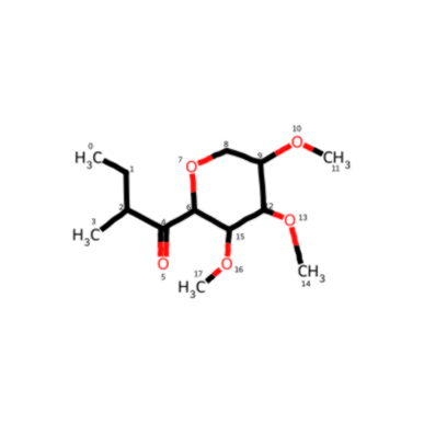 CCC(C)C(=O)C1OCC(OC)C(OC)C1OC